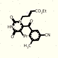 CCOC(=O)/C=C/Cn1c(C(=O)c2cc(C)cc(C#N)c2)c(C(C)C)c(=O)[nH]c1=O